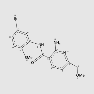 COCc1ccc(C(=O)Nc2cc(Br)ccc2SC)c(N)n1